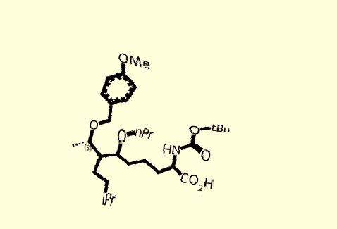 CCCOC(CCCC(NC(=O)OC(C)(C)C)C(=O)O)C(CCC(C)C)[C@H](C)OCc1ccc(OC)cc1